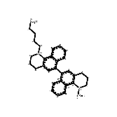 CCCCCN1CCCc2cc(-c3cc4c(c5ccccc35)N(CCCCS(=O)(=O)O)CCC4)c3ccccc3c21